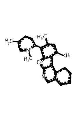 Cc1ccc(-c2c(C)cc(C)c3c2oc2ncc4ccccc4c23)[n+](C)c1